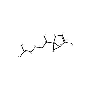 CC(C)=CCCC(C)C12CC=C(C)C1C2